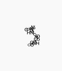 Cc1ccc(C(=O)CC(=N)c2ccc(C(=O)N3CCc4cc(NC(=O)OC5CCCCC5)sc4-c4ccccc43)cc2)c(N2CC3(CCOCC3)C2)n1